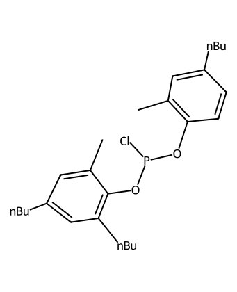 CCCCc1ccc(OP(Cl)Oc2c(C)cc(CCCC)cc2CCCC)c(C)c1